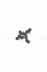 c1ccc(-c2ccc(-c3cc(-c4nc(-c5ccc(-c6ccc7ccccc7c6)cc5)nc(-c5ccc6c(c5)sc5ccccc56)n4)cc4ccccc34)c3c2oc2ccccc23)cc1